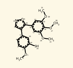 COc1ccc(-c2cnoc2-c2cc(OC)c(OC)c(OC)c2)cc1S